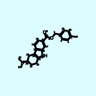 Cc1ccc(COC(=O)c2ccc3c4c([nH]c3c2)CCC(N(C)C)C4)cc1